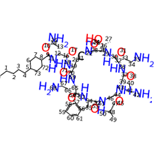 CCCCCC1CCC(C(=O)N[C@H](CCN)C(=O)N[C@H]2CCNC(=O)[C@H]([C@@H](C)O)NC(=O)[C@H](CCN)NC(=O)[C@H](CCN)NC(=O)[C@H](CC(C)C)NC(=O)[C@@H](Cc3ccccc3)NC(=O)[C@H](CCN)NC2=O)CC1